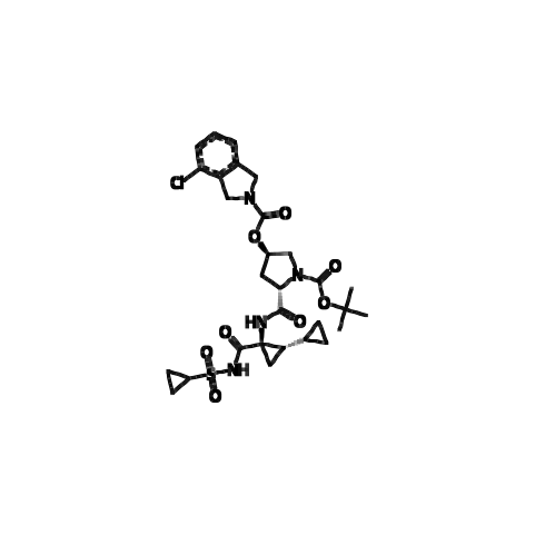 CC(C)(C)OC(=O)N1C[C@H](OC(=O)N2Cc3cccc(Cl)c3C2)C[C@H]1C(=O)N[C@]1(C(=O)NS(=O)(=O)C2CC2)C[C@H]1C1CC1